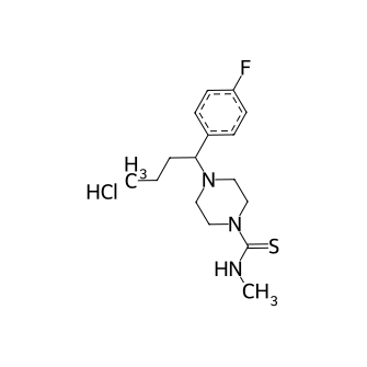 CCCC(c1ccc(F)cc1)N1CCN(C(=S)NC)CC1.Cl